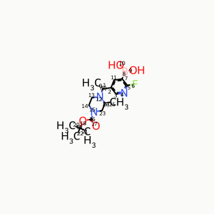 C[C@H](c1cnc(F)c(B(O)O)c1)N1CCN(C(=O)OC(C)(C)C)C[C@@H]1C